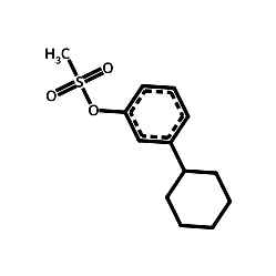 CS(=O)(=O)Oc1cccc(C2CCCCC2)c1